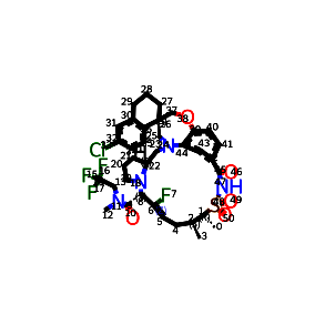 C[C@@H]1[C@@H](C)C/C=C(\F)[C@H](C(=O)N(C)CC(F)(F)F)N2CCC[C@H]2CN2C[C@@]3(CCCc4cc(Cl)ccc43)COc3ccc(cc32)C(=O)NS1(=O)=O